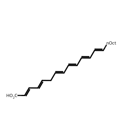 CCCCCCCCC=CC=CC=CC=CCC=CC=CC(=O)O